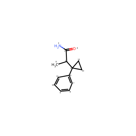 C[C](C(N)=O)C1(c2ccccc2)CC1